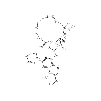 COc1ccc2c(OC3CN4C(=O)NCCCCC/C=C/C5CC5([C]=O)NC(=O)C4(C(N)=O)C3)nc(-c3ccccc3)nc2c1C